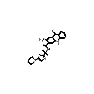 C=C(NC(C)(C)c1ncc(N2CCCCC2)s1)C1=CC2Nc3ccccc3C(=O)C2C=C1P